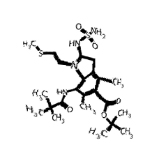 CSCCN1c2c(c(C)c(C(=O)OC(C)(C)C)c(C)c2NC(=O)C(C)(C)C)CC1NS(N)(=O)=O